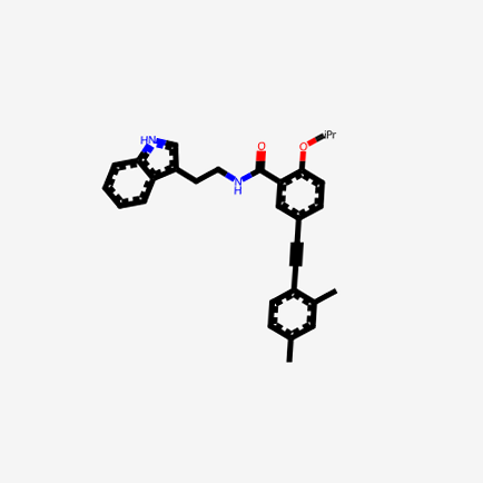 Cc1ccc(C#Cc2ccc(OC(C)C)c(C(=O)NCCc3c[nH]c4ccccc34)c2)c(C)c1